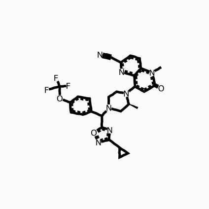 C[C@H]1CN(C(c2ccc(OC(F)(F)F)cc2)c2nc(C3CC3)no2)CCN1c1cc(=O)n(C)c2ccc(C#N)nc12